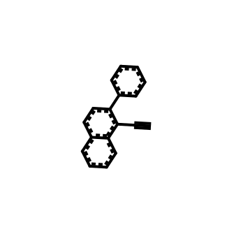 C#Cc1c(-c2ccccc2)ccc2ccccc12